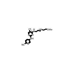 COCCNCCCNc1nc(Nc2ccc(C#N)nc2)ncc1C(F)(F)F